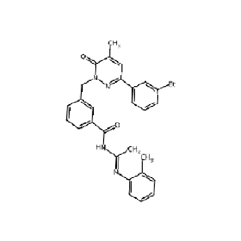 CCc1cccc(-c2cc(C)c(=O)n(Cc3cccc(C(=O)N/C(C)=N/c4ccccc4C)c3)n2)c1